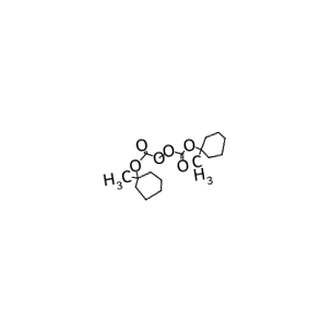 CC1(OC(=O)OOC(=O)OC2(C)CCCCC2)CCCCC1